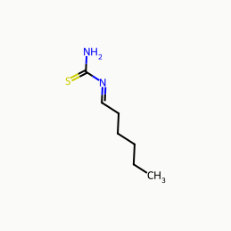 CCCCCC=NC(N)=S